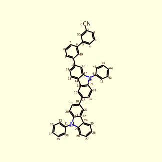 N#Cc1cccc(-c2cccc(-c3ccc4c5cc(-c6ccc7c(c6)c6ccccc6n7-c6ccccc6)ccc5n(-c5ccccc5)c4c3)c2)c1